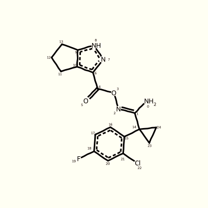 N/C(=N\OC(=O)c1n[nH]c2c1CCC2)C1(c2ccc(F)cc2Cl)CC1